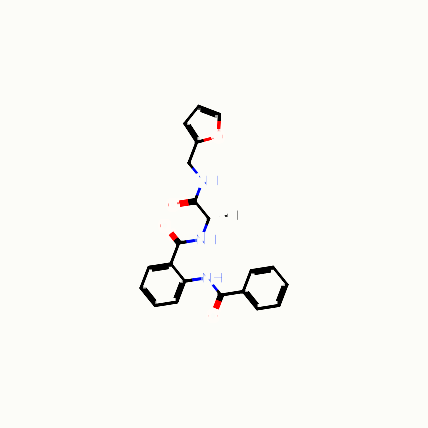 C[C@H](NC(=O)c1ccccc1NC(=O)c1ccccc1)C(=O)NCc1ccco1